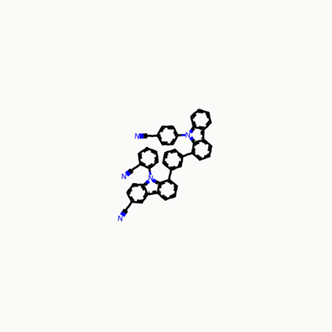 N#Cc1ccc(-n2c3ccccc3c3cccc(-c4cccc(-c5cccc6c7cc(C#N)ccc7n(-c7ccccc7C#N)c56)c4)c32)cc1